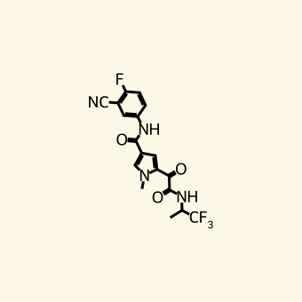 CC(NC(=O)C(=O)c1cc(C(=O)Nc2ccc(F)c(C#N)c2)cn1C)C(F)(F)F